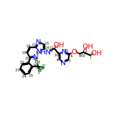 OC[C@H](O)COc1cncc(C(O)Nc2cnc3ccc(-c4ccccc4C(F)(F)F)nn23)n1